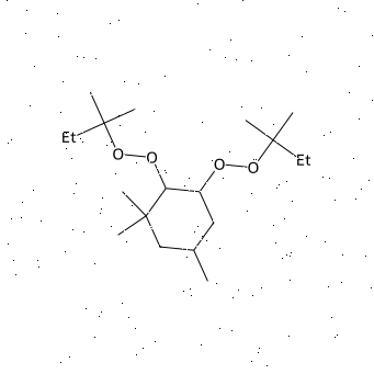 CCC(C)(C)OOC1CC(C)CC(C)(C)C1OOC(C)(C)CC